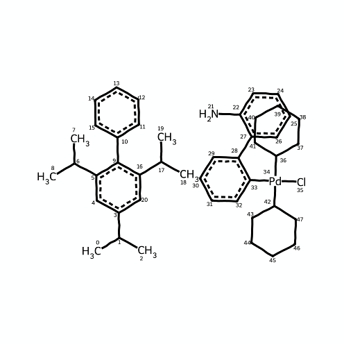 CC(C)c1cc(C(C)C)c(-c2c[c]ccc2)c(C(C)C)c1.Nc1ccccc1-c1cccc[c]1[Pd]([Cl])([CH]1CCCCC1)[CH]1CCCCC1